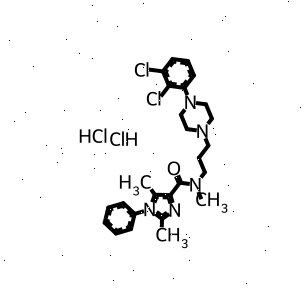 Cc1nc(C(=O)N(C)CCCN2CCN(c3cccc(Cl)c3Cl)CC2)c(C)n1-c1ccccc1.Cl.Cl